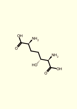 N[C@@H](CC[C@@H](O)[C@@H](N)C(=O)O)C(=O)O